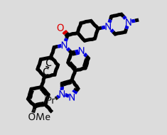 COc1ccc(C23CCC(CN(C(=O)C4CCC(N5CCN(C)CC5)CC4)c4cc(-c5cnn(C(C)C)c5)ccn4)(CC2)CC3)cc1C